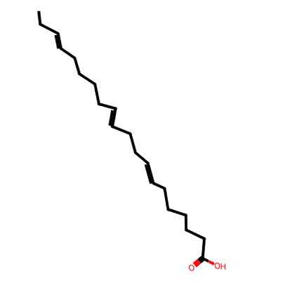 CC/C=C/CCCC/C=C/CC/C=C/CCCCCC(=O)O